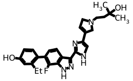 CCc1cc(O)ccc1-c1ccc2c(-c3nc(C4=CCN(CCC(C)(C)O)C4)c[nH]3)n[nH]c2c1F